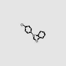 Clc1ccc(-[n+]2coc3ccccc32)cc1